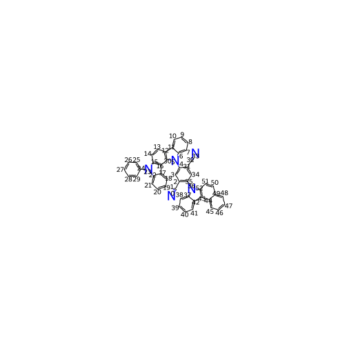 N#Cc1cc(-n2c3ccccc3c3ccc4c(c5ccccc5n4-c4ccccc4)c32)c(C#N)cc1-n1c2ccccc2c2c3ccccc3ccc21